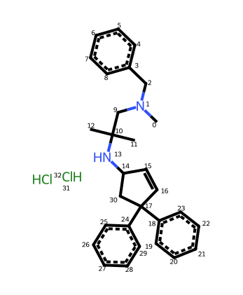 CN(Cc1ccccc1)CC(C)(C)NC1C=CC(c2ccccc2)(c2ccccc2)C1.Cl.Cl